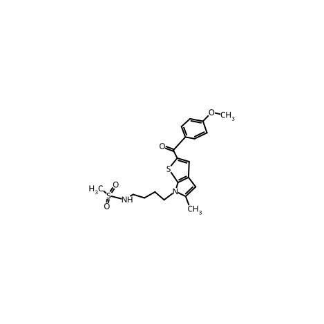 COc1ccc(C(=O)c2cc3cc(C)n(CCCCNS(C)(=O)=O)c3s2)cc1